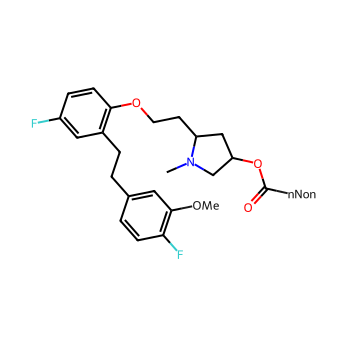 CCCCCCCCCC(=O)OC1CC(CCOc2ccc(F)cc2CCc2ccc(F)c(OC)c2)N(C)C1